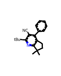 CC(C)(C)c1nc2c(c(-c3ccccc3)c1C#N)CCC2(C)C